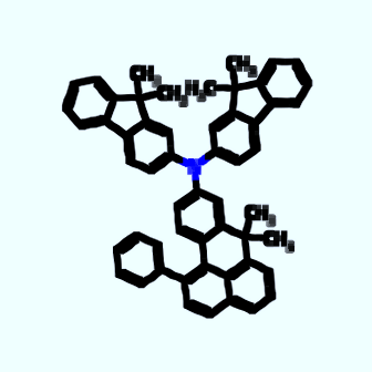 CC1(C)c2ccccc2-c2ccc(N(c3ccc4c(c3)C(C)(C)c3ccccc3-4)c3ccc4c(c3)C(C)(C)c3cccc5ccc(-c6ccccc6)c-4c35)cc21